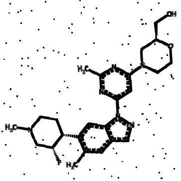 Cc1nc(N2CCO[C@H](CO)C2)cc(-n2ncc3cc(C)c([C@H]4CCN(C)C[C@H]4F)cc32)n1